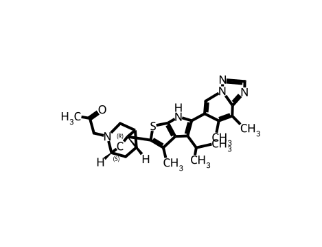 CC(=O)CN1CC2CC[C@H]1C[C@H]2c1sc2[nH]c(-c3cn4ncnc4c(C)c3C)c(C(C)C)c2c1C